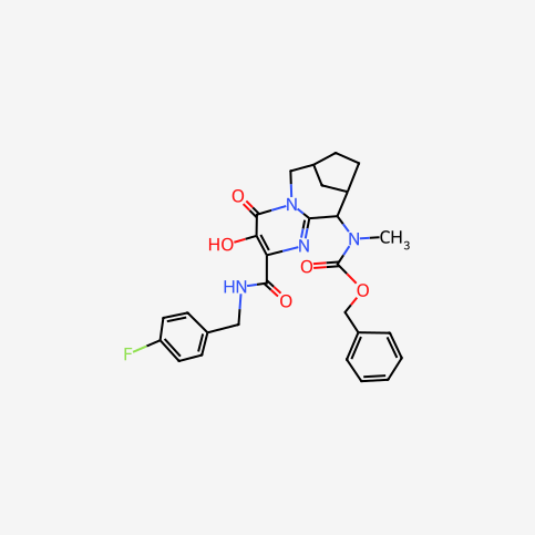 CN(C(=O)OCc1ccccc1)C1c2nc(C(=O)NCc3ccc(F)cc3)c(O)c(=O)n2CC2CCC1C2